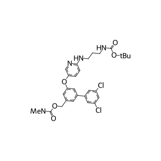 CNC(=O)OCc1cc(Oc2ccc(NCCCNC(=O)OC(C)(C)C)nc2)cc(-c2cc(Cl)cc(Cl)c2)c1